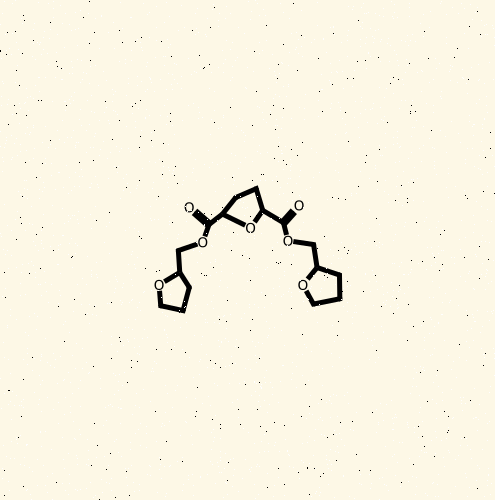 O=C(OCC1CCCO1)C1CCC(C(=O)OCC2CCCO2)O1